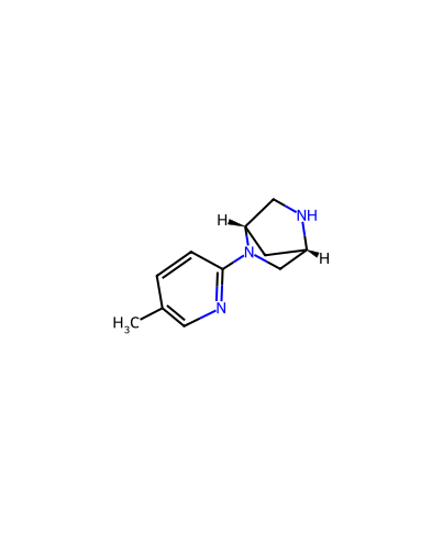 Cc1ccc(N2C[C@@H]3C[C@H]2CN3)nc1